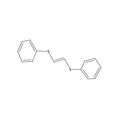 C(=CSc1ccccc1)Sc1ccccc1